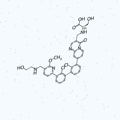 COc1nc(-c2cccc(-c3cccc(-c4ccn5c(=O)c(CN[C@H](CO)C(=O)O)cnc5c4)c3Cl)c2Cl)ccc1CNCCO